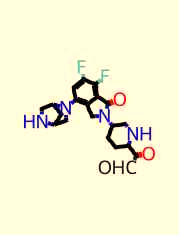 O=CC(=O)C1CCC(N2Cc3c(N4CC5CC4CN5)cc(F)c(F)c3C2=O)CN1